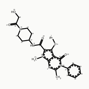 Cc1nc2c(c(OC(C)C)c(C(=O)NC3CCN(C(=O)CO)CC3)n2C)c(=O)n1-c1ccccc1